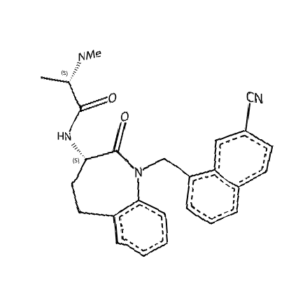 CN[C@@H](C)C(=O)N[C@H]1CCc2ccccc2N(Cc2cccc3ccc(C#N)cc23)C1=O